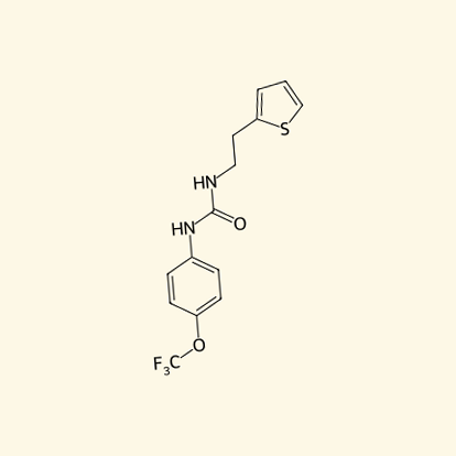 O=C(NCCc1cccs1)Nc1ccc(OC(F)(F)F)cc1